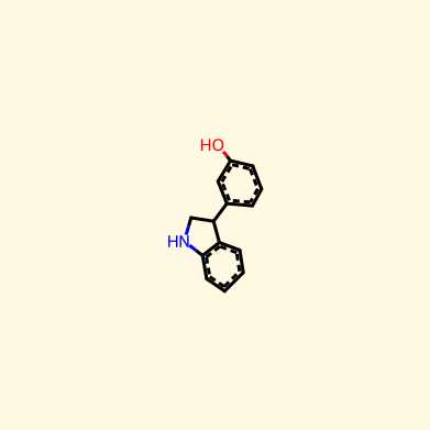 Oc1cccc(C2CNc3ccccc32)c1